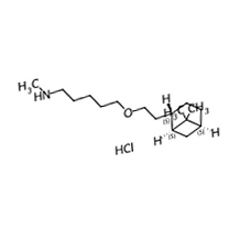 CNCCCCCOCC[C@@H]1CC[C@H]2C[C@@H]1C2(C)C.Cl